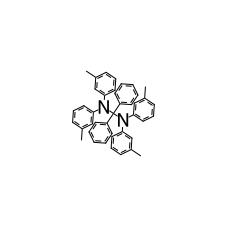 Cc1cccc(N(c2cccc(C)c2)C(c2ccccc2)(c2ccccc2)N(c2cccc(C)c2)c2cccc(C)c2)c1